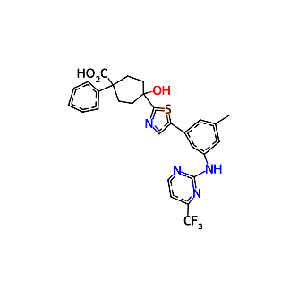 Cc1cc(Nc2nccc(C(F)(F)F)n2)cc(-c2cnc(C3(O)CCC(C(=O)O)(c4ccccc4)CC3)s2)c1